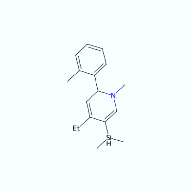 CCC1=CC(c2ccccc2C)N(C)C=C1[SiH](C)C